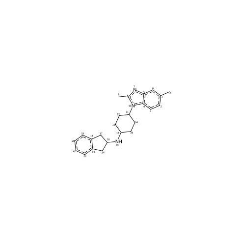 Cc1ccc2c(c1)nc(C)n2C1CCC(NC2Cc3ccccc3C2)CC1